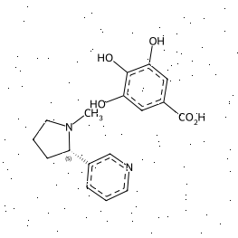 CN1CCC[C@H]1c1cccnc1.O=C(O)c1cc(O)c(O)c(O)c1